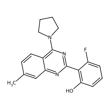 Cc1ccc2c(N3C[CH]CC3)nc(-c3c(O)cccc3F)nc2c1